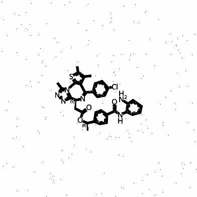 Cc1sc2c(c1C)C(c1ccc(Cl)cc1)=N[C@@H](CC(=O)O[C@H](C)c1ccc(C(=O)Nc3ccccc3N)cc1)c1nnc(C)n1-2